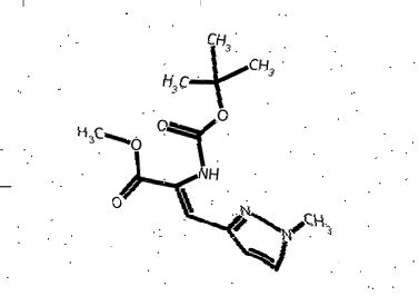 COC(=O)C(=Cc1ccn(C)n1)NC(=O)OC(C)(C)C